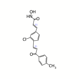 Cc1ccc(C(=O)/C=C/c2ccc(/C=C/C(=O)NO)cc2Cl)cc1